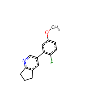 COc1ccc(F)c(-c2cnc3c(c2)CCC3)c1